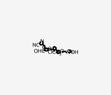 Cc1c(COc2cc(OCc3cncc(C#N)c3)c(C=O)cc2Cl)cccc1-c1cccc(OCCCN2CC[C@H](O)C2)c1